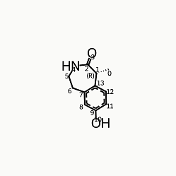 C[C@H]1C(=O)NCCc2cc(O)ccc21